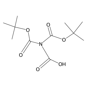 CC(C)(C)OC(=O)N(C(=O)O)C(=O)OC(C)(C)C